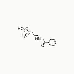 C[C@H](CCCNCC(=O)c1ccccc1)C(=O)O